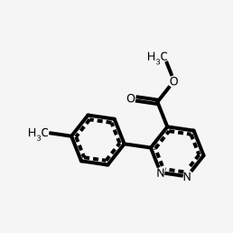 COC(=O)c1ccnnc1-c1ccc(C)cc1